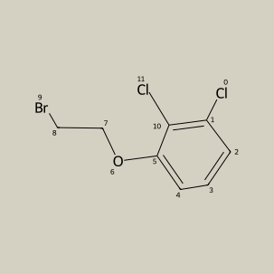 Clc1cccc(OCCBr)c1Cl